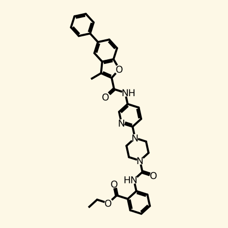 CCOC(=O)c1ccccc1NC(=O)N1CCN(c2ccc(NC(=O)c3oc4ccc(-c5ccccc5)cc4c3C)cn2)CC1